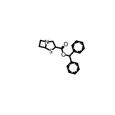 O=C(OC(c1ccccc1)c1ccccc1)C1CN2CCC2S1